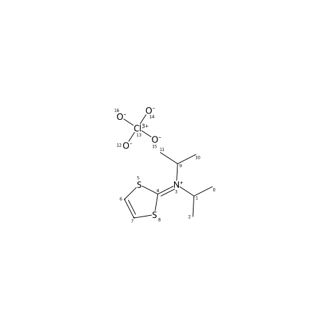 CC(C)[N+](=c1sccs1)C(C)C.[O-][Cl+3]([O-])([O-])[O-]